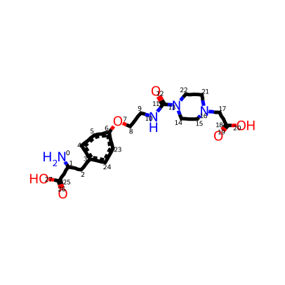 NC(Cc1ccc(OCCNC(=O)N2CCN(CC(=O)O)CC2)cc1)C(=O)O